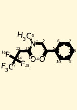 CN(CC(=O)c1ccccc1)C(=O)CC(F)(F)C(F)(F)F